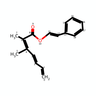 C=CC=CC(C)=C(C)C(=O)OC=Cc1ccccc1